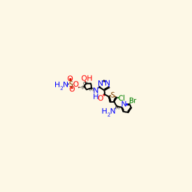 N[C@@H](c1cccc(Br)n1)c1cc(C(=O)c2cncnc2N[C@@H]2C[C@H](COS(N)(=O)=O)[C@@H](O)C2)sc1Cl